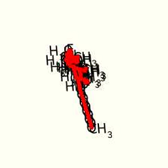 CC[C@@]1(O)C(=O)OCc2c1cc1n(c2=O)Cc2c-1nc1cc(F)c(C)c3c1c2[C@@H](NC(=O)[C@H](C)NC(=O)[C@H](C)NC(=O)[C@H](C)NC(=O)[C@H](CCC(=O)N(CCC(=O)OC(C)(C)C)CCC(=O)OC(C)(C)C)NC(=O)CCCNC(=O)[C@H](CCCCNC(=O)COCCOCCOCCOCCOCCOCCOCCOCCOCCOC)NC(=O)CCCN1C(=O)C=CC1=O)CC3